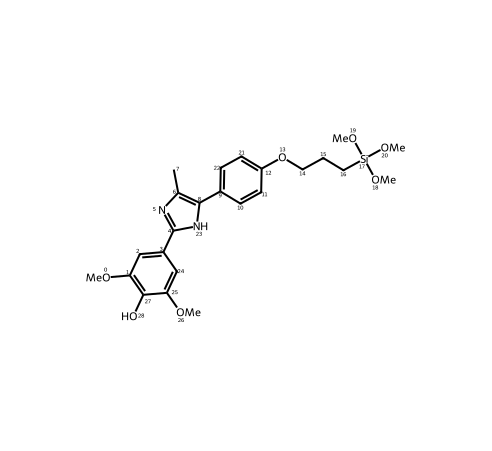 COc1cc(-c2nc(C)c(-c3ccc(OCCC[Si](OC)(OC)OC)cc3)[nH]2)cc(OC)c1O